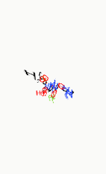 CCS(=O)(=O)c1ccc([C@H](COCC(=O)O)NC(=O)c2ccc(N3C[C@@H](Oc4ccc(-n5cccn5)cn4)C[C@H]3COC(F)F)nc2)cc1